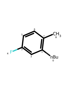 C[CH]CCc1cc(F)ccc1C